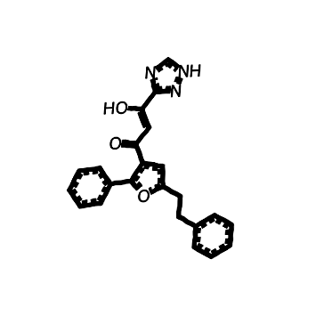 O=C(C=C(O)c1nc[nH]n1)c1cc(CCc2ccccc2)oc1-c1ccccc1